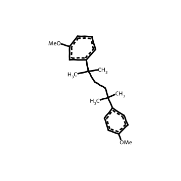 COc1ccc(C(C)(C)CCC(C)(C)c2cccc(OC)c2)cc1